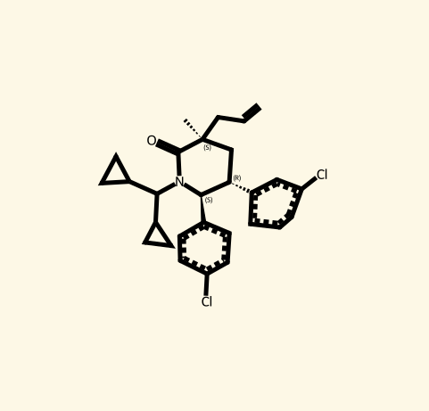 C=CC[C@@]1(C)C[C@H](c2cccc(Cl)c2)[C@@H](c2ccc(Cl)cc2)N(C(C2CC2)C2CC2)C1=O